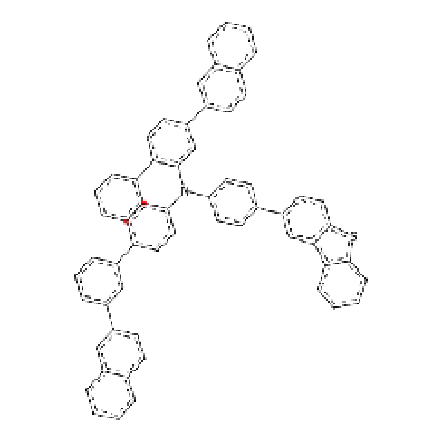 c1ccc(-c2ccc(-c3ccc4ccccc4c3)cc2N(c2ccc(-c3cccc(-c4ccc5ccccc5c4)c3)cc2)c2ccc(-c3ccc4sc5ccccc5c4c3)cc2)cc1